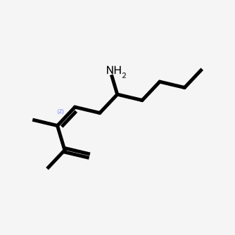 C=C(C)/C(C)=C\CC(N)CCCC